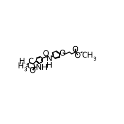 CCOC(=O)CCCOc1ccc(NC(=O)c2ccc3c(c2)NC(=O)C3(C)C)cc1